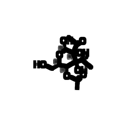 CC(=O)O[C@@H]1[C@@H](CO)O[C@H](O)[C@@](O)(C(C)=O)[C@]1(O)C(C)=O